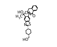 CC(C)(O)c1cc2nc([C@H]3CC[C@H](CO)CC3)sc2cc1N1CCc2ccccc2C1=O